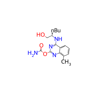 CCCC[C@H](CO)Nc1nc(OC(N)=O)nc2c(C)cccc12